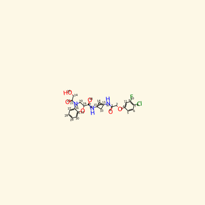 O=C(COc1ccc(Cl)c(F)c1)NC12CC(NC(=O)C3CN(C(=O)CO)c4ccccc4O3)(C1)C2